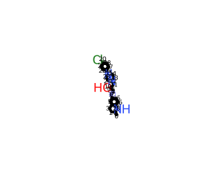 C=C1CCc2cc(/C=C/[C@@H](O)CN3CCN(c4ccc(Cl)cc4)CC3)ccc2N1